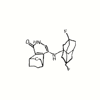 O=c1[nH]cc(NC23CC4CC(F)(CC(F)(C4)C2)C3)c2c1C1CCC2CC1